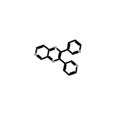 c1cncc(-c2nc3ccncc3nc2-c2cccnc2)c1